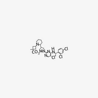 C[C@@H](Nc1nc(N2CCC(C3CCCCN3C3CC(C)(C(=O)O)C3)C2)ncc1Cl)c1ccc(Cl)cc1Cl